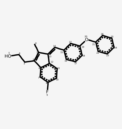 CC1=C(CCO)c2cc(F)ccc2/C1=C\c1cccc(Oc2ccccc2)c1